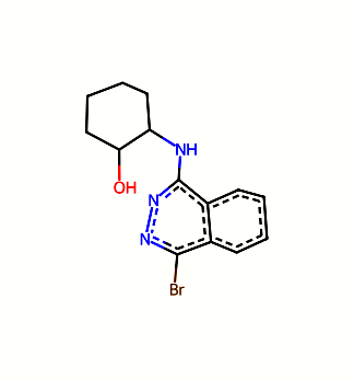 OC1CCCCC1Nc1nnc(Br)c2ccccc12